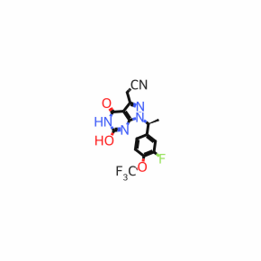 C[C@@H](c1ccc(OC(F)(F)F)c(F)c1)n1nc(CC#N)c2c(=O)[nH]c(O)nc21